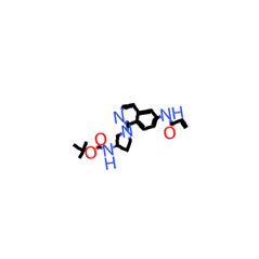 C=CC(=O)Nc1ccc2c(N3CC[C@@H](NC(=O)OC(C)(C)C)C3)nccc2c1